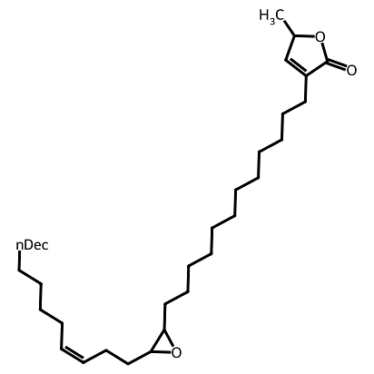 CCCCCCCCCCCCCC/C=C\CCC1OC1CCCCCCCCCCCCC1=CC(C)OC1=O